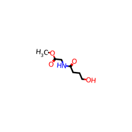 COC(=O)CNC(=O)CCCO